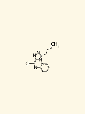 CCCCc1nnc2c(Cl)nc3ccccc3n12